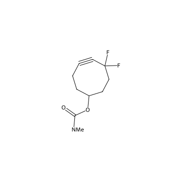 CNC(=O)OC1CCC#CC(F)(F)CC1